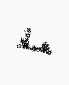 Cc1ncsc1-c1ccc(CNC(=O)[C@@H]2CCCN2C(=O)[C@@H](NC(=O)CNCc2ccc(COc3cc(F)c([C@@H]4c5[nH]c6ccccc6c5C[C@@H](C)N4CC(C)(C)F)c(F)c3)nc2)C(C)(C)C)cc1